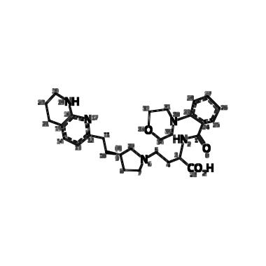 O=C(NC(CCN1CC[C@@H](CCc2ccc3c(n2)NCCC3)C1)C(=O)O)c1ccccc1N1CCOCC1